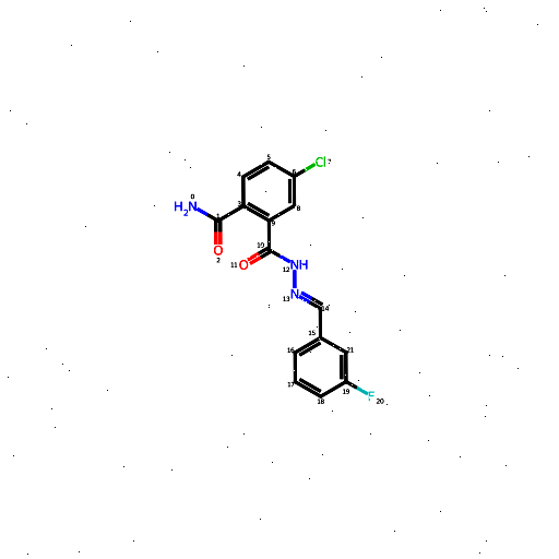 NC(=O)c1ccc(Cl)cc1C(=O)NN=Cc1cccc(F)c1